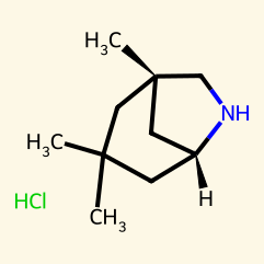 CC1(C)C[C@@H]2C[C@@](C)(CN2)C1.Cl